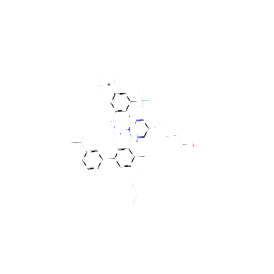 CCCOc1cc(-c2cc(C(C)C)ccc2C)c(CN(Cc2cc(C(F)(F)F)cc(C(F)(F)F)c2)c2ncc(OCCCC=O)cn2)cc1C